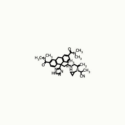 C=C(CN[C@H](C)CC1(c2nn[nH]n2)c2ccc(C(=O)N(C)C)cc2Cc2cc(C(=O)N(C)C)ccc21)N(C(C)C#N)C1CC1